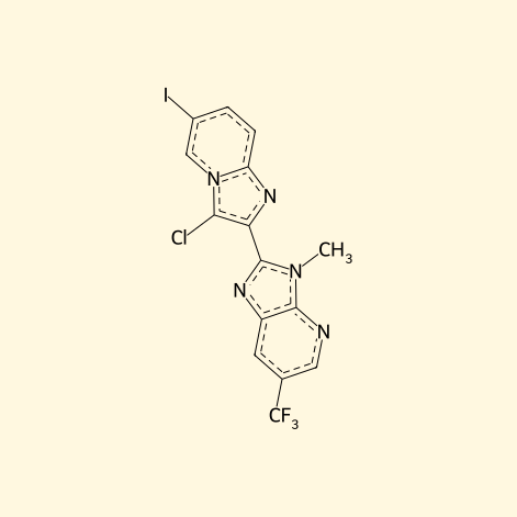 Cn1c(-c2nc3ccc(I)cn3c2Cl)nc2cc(C(F)(F)F)cnc21